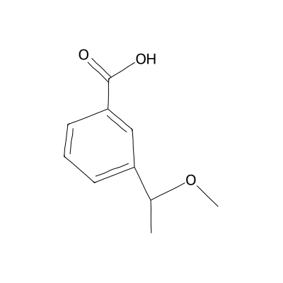 COC(C)c1cccc(C(=O)O)c1